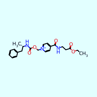 CCOC(=O)CCNC(=O)c1cc[n+](COC(=O)N[C@@H](C)Cc2ccccc2)cc1